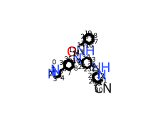 Cn1nccc1-c1ccc(N(C(=O)NCc2ccccc2)[C@H]2CC[C@H](Nc3ccc(C#N)cn3)CC2)cc1